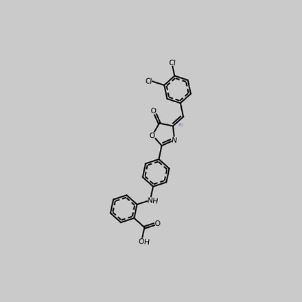 O=C1OC(c2ccc(Nc3ccccc3C(=O)O)cc2)=N/C1=C/c1ccc(Cl)c(Cl)c1